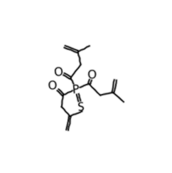 C=C(C)CC(=O)P(=S)(C(=O)CC(=C)C)C(=O)CC(=C)C